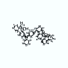 CC1(C)c2ccccc2-c2ccc(N(c3ccccc3)c3ccc(-c4cccc5oc6c(C7(C)c8ccccc8-c8ccccc87)cccc6c45)cc3)cc21